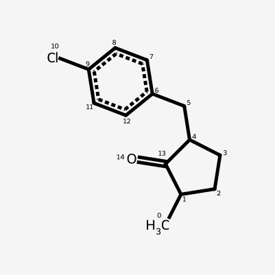 CC1CCC(Cc2ccc(Cl)cc2)C1=O